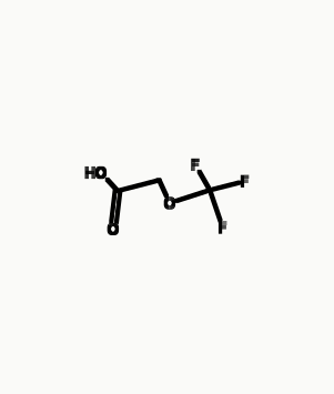 O=C(O)COC(F)(F)F